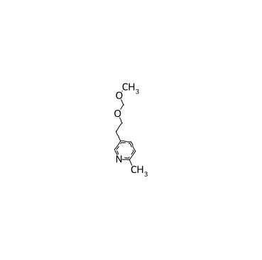 COCOCCc1ccc(C)nc1